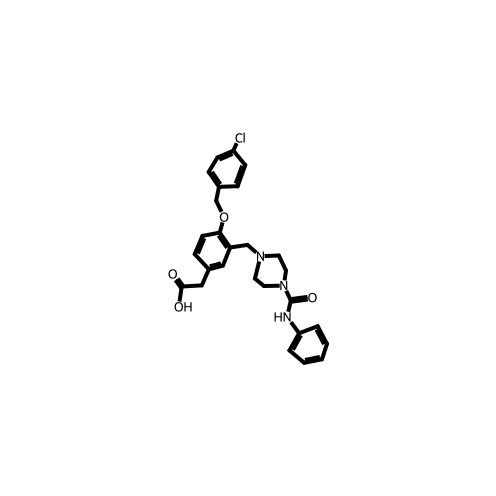 O=C(O)Cc1ccc(OCc2ccc(Cl)cc2)c(CN2CCN(C(=O)Nc3ccccc3)CC2)c1